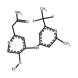 CCOc1cnc(CC(N)=O)cc1Nc1cc(C)nc(C(C)(F)F)c1